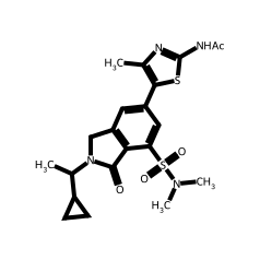 CC(=O)Nc1nc(C)c(-c2cc3c(c(S(=O)(=O)N(C)C)c2)C(=O)N(C(C)C2CC2)C3)s1